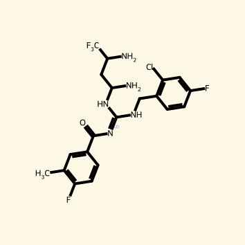 Cc1cc(C(=O)/N=C(/NCc2ccc(F)cc2Cl)NC(N)CC(N)C(F)(F)F)ccc1F